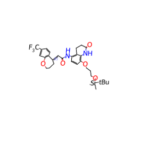 CC(C)(C)[Si](C)(C)OCCCOc1ccc(NC(=O)/C=C2\CCCOc3cc(C(F)(F)F)ccc32)c2c1NC(=O)CC2